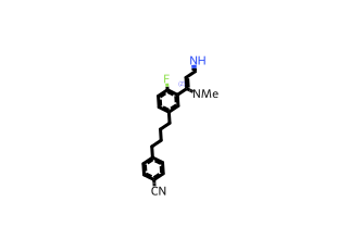 CN/C(=C\C=N)c1cc(CCCCc2ccc(C#N)cc2)ccc1F